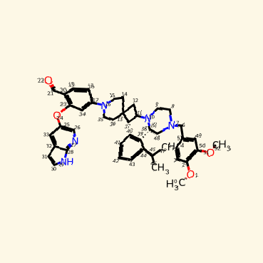 COc1ccc(CN2CCN(C3CC4(CCN(c5ccc(C=O)c(Oc6cnc7[nH]ccc7c6)c5)CC4)C3)[C@@H](c3ccccc3C(C)C)C2)cc1OC